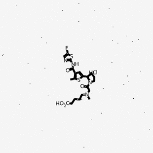 Cc1sc(C2CCCN2C(=O)CN(C)CCCCC(=O)O)cc1C(=O)Nc1ncc(F)s1.Cl